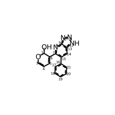 OC1OC=CC=C1c1nc2nn[nH]c2cc1-c1ccccc1